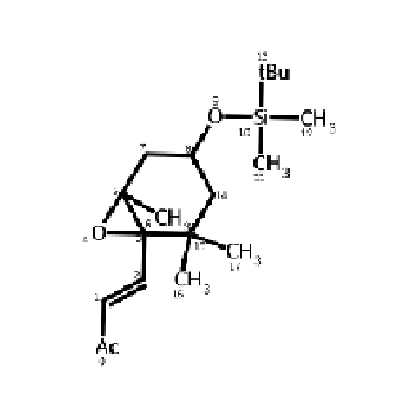 CC(=O)C=CC12OC1(C)CC(O[Si](C)(C)C(C)(C)C)CC2(C)C